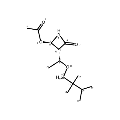 CC(=O)O[C@H]1NC(=O)[C@@H]1C(C)O[SiH2]C(C)(C)C(C)C